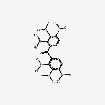 CCN(CC)c1ccc(C(=O)c2ccc(N(CC)CC)c(N(CC)CC)c2N(CC)CC)c(N(CC)CC)c1N(CC)CC